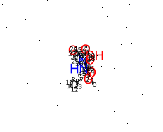 CCOC(=O)C(CCc1ccccc1)N[C@@H](C)C(=O)N1CCC2COCC2[C@H]1C(=O)O